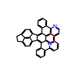 c1ccc(-c2ccccc2-c2c3c(c(-c4ccccc4-c4ccccn4)c4ccccc24)-c2ccc4c5c(ccc-3c25)CC4)nc1